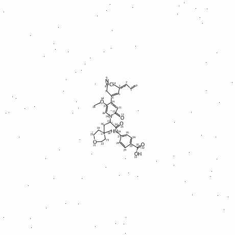 C=C/C=C(Cl)\C=C(/CC#N)c1cc(=O)n(C(CC2(C)CCOCC2)C(=O)Nc2ccc(C(=O)O)cc2)cc1OC